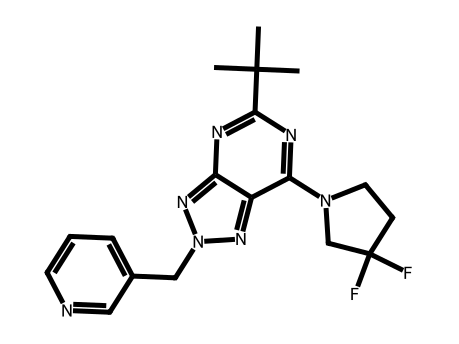 CC(C)(C)c1nc(N2CCC(F)(F)C2)c2nn(Cc3cccnc3)nc2n1